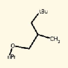 [CH2]CCOCC(C)CC(C)(C)C